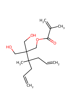 C=CCC(C)(CC=C)C(CO)(CO)COC(=O)C(=C)C